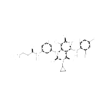 Cc1c(=O)n(C)c(Nc2ccc(I)cc2F)c2c(=O)n(C3CC3)c(=O)n(-c3cccc(NC(=O)CC[N+](=O)[O-])c3)c12